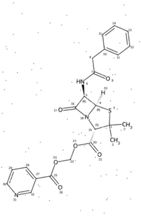 CC1(C)S[C@@H]2[C@H](NC(=O)Cc3ccccc3)C(=O)N2[C@H]1C(=O)OCOC(=O)c1cccnc1